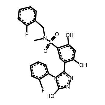 CN(Cc1ccccc1F)S(=O)(=O)c1cc(-c2nnc(O)n2-c2ccccc2F)c(O)cc1O